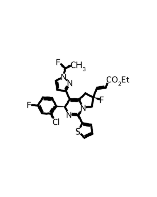 CCOC(=O)/C=C/[C@@]1(F)CC2=C(c3ccn(C(C)F)n3)[C@H](c3ccc(F)cc3Cl)N=C(c3cccs3)N2C1